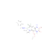 CCOC(=O)Cn1c(=O)c(=O)[nH]c2cc(C(F)(F)F)c(-n3ccc(CNCc4ccccc4)c3)cc21